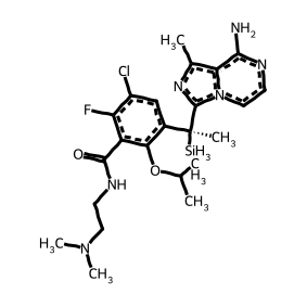 Cc1nc([C@@](C)([SiH3])c2cc(Cl)c(F)c(C(=O)NCCN(C)C)c2OC(C)C)n2ccnc(N)c12